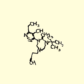 C#CCCN1CN(c2snc(CC)c2C)C(=O)N(C(C)(C)C)C1